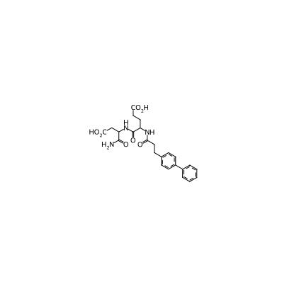 NC(=O)C(CC(=O)O)NC(=O)C(CCC(=O)O)NC(=O)CCc1ccc(-c2ccccc2)cc1